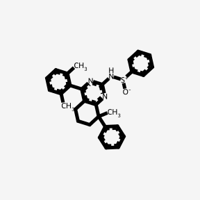 Cc1cccc(C)c1-c1nc(N[S+]([O-])c2ccccc2)nc2c1CCCC2(C)c1ccccc1